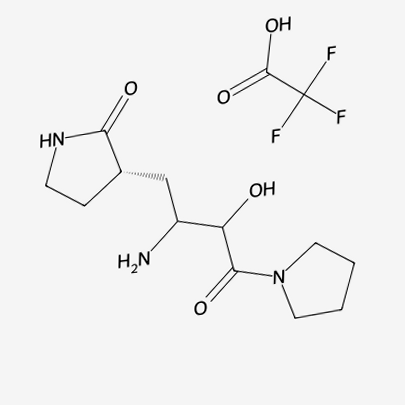 NC(C[C@@H]1CCNC1=O)C(O)C(=O)N1CCCC1.O=C(O)C(F)(F)F